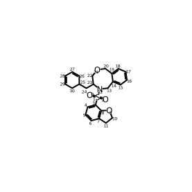 O=S(=O)(c1cccc2c1OCC2)N1Cc2ccccc2COCC1CC1C=CC=CC1